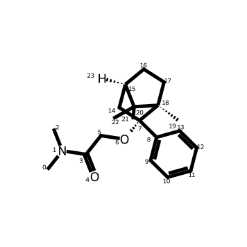 CN(C)C(=O)CO[C@]1(c2ccccc2)C[C@H]2CC[C@]1(C)C2(C)C